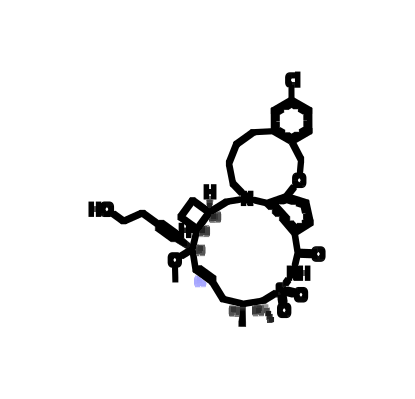 CO[C@@]1(C#CCCO)/C=C/C[C@H](C)[C@@H](C)S(=O)(=O)NC(=O)c2ccc3c(c2)N(CCCCc2cc(Cl)ccc2CO3)C[C@@H]2CC[C@H]21